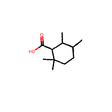 CC1CCC(C)(C)C(C(=O)O)C1C